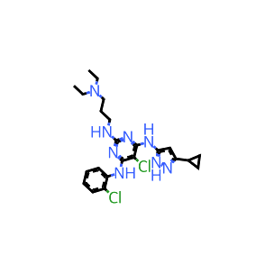 CCN(CC)CCCNc1nc(Nc2cc(C3CC3)n[nH]2)c(Cl)c(Nc2ccccc2Cl)n1